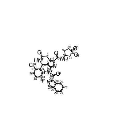 O=C1Cn2c(C(=O)NC3CCS(=O)(=O)C3)nc(NC(=O)c3nsc4ccccc34)c2C(c2cc(F)ccc2Cl)N1